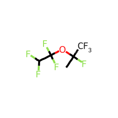 CC(F)(OC(F)(F)C(F)F)C(F)(F)F